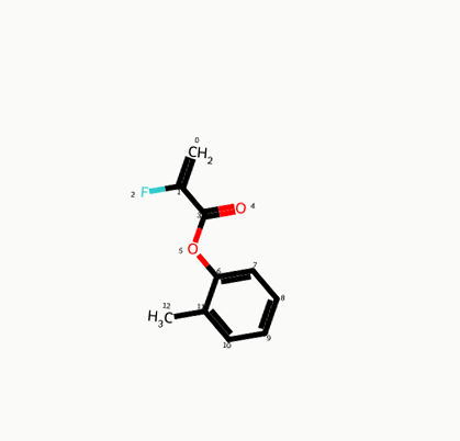 C=C(F)C(=O)Oc1ccccc1C